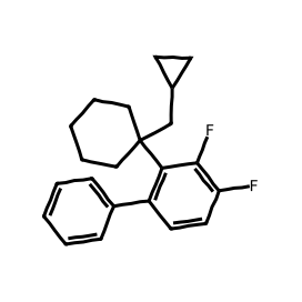 Fc1ccc(-c2ccccc2)c(C2(CC3CC3)CCCCC2)c1F